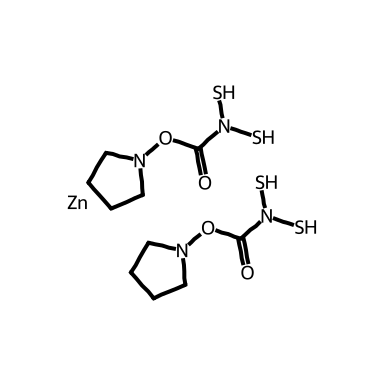 O=C(ON1CCCC1)N(S)S.O=C(ON1CCCC1)N(S)S.[Zn]